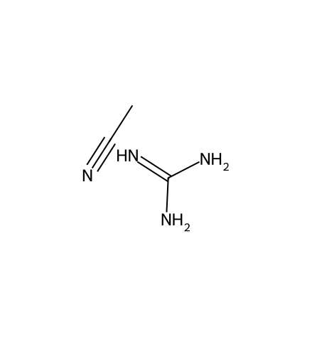 CC#N.N=C(N)N